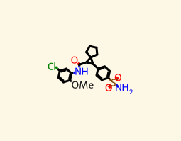 COc1ccc(Cl)cc1NC(=O)C1C(c2ccc(S(N)(=O)=O)cc2)C12CCCC2